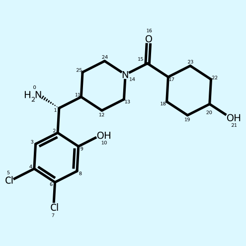 N[C@@H](c1cc(Cl)c(Cl)cc1O)C1CCN(C(=O)C2CCC(O)CC2)CC1